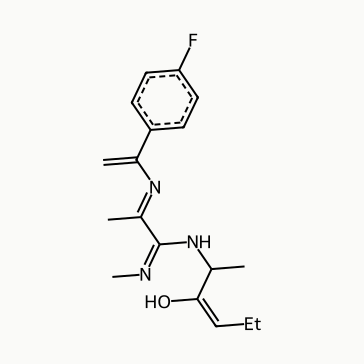 C=C(/N=C(C)/C(=N\C)NC(C)/C(O)=C\CC)c1ccc(F)cc1